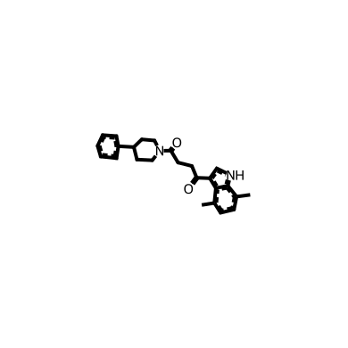 Cc1ccc(C)c2c(C(=O)CCC(=O)N3CCC(c4ccccc4)CC3)c[nH]c12